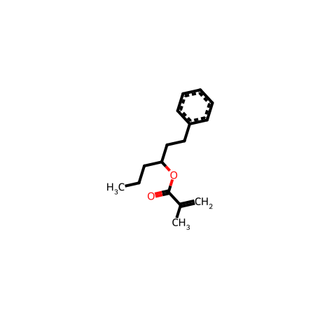 C=C(C)C(=O)OC(CCC)CCc1ccccc1